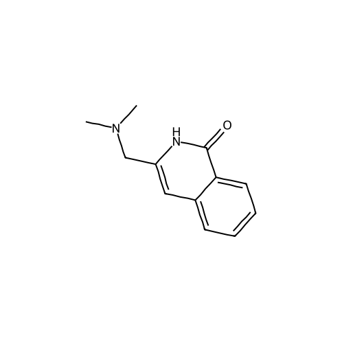 CN(C)Cc1cc2ccccc2c(=O)[nH]1